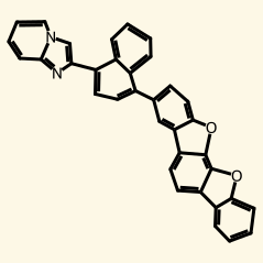 c1ccc2c(c1)oc1c2ccc2c3cc(-c4ccc(-c5cn6ccccc6n5)c5ccccc45)ccc3oc21